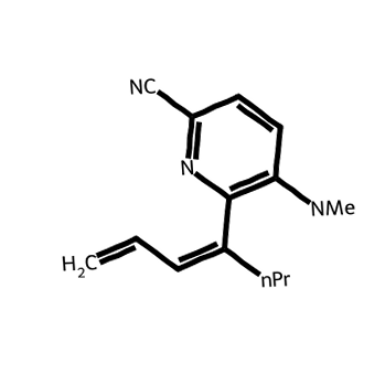 C=C/C=C(/CCC)c1nc(C#N)ccc1NC